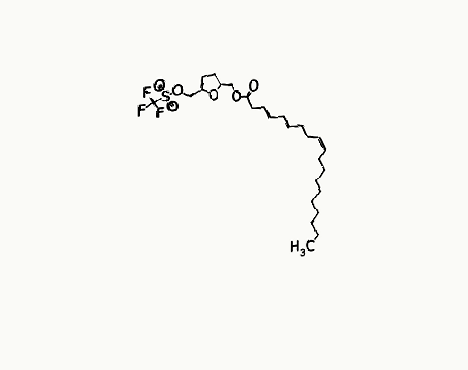 CCCCCCCCC/C=C\CCCCCCCC(=O)OC[C@@H]1CC[C@H](COS(=O)(=O)C(F)(F)F)O1